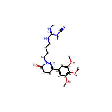 C/N=C(\NC#N)NCCCCN1N=C(c2cc(OC)c(OC)c(OC)c2)CCC1=O